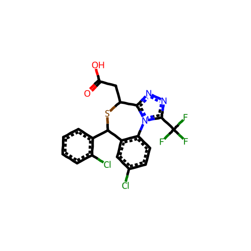 O=C(O)CC1SC(c2ccccc2Cl)c2cc(Cl)ccc2-n2c1nnc2C(F)(F)F